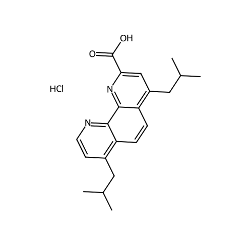 CC(C)Cc1ccnc2c1ccc1c(CC(C)C)cc(C(=O)O)nc12.Cl